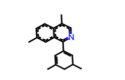 CC1=CC(c2ncc(C)c3ccc(C)cc23)=CC(C)C1